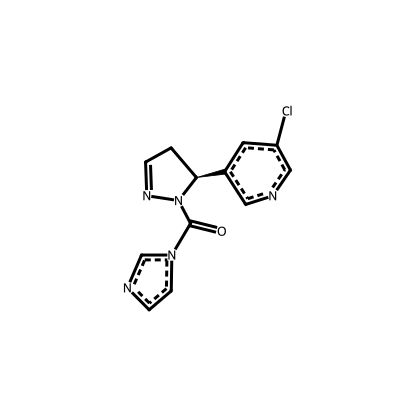 O=C(N1N=CC[C@H]1c1cncc(Cl)c1)n1ccnc1